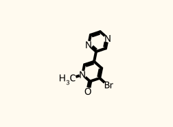 Cn1cc(-c2cnccn2)cc(Br)c1=O